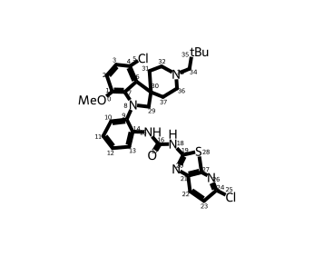 COc1ccc(Cl)c2c1N(c1ccccc1NC(=O)Nc1nc3ccc(Cl)nc3s1)CC21CCN(CC(C)(C)C)CC1